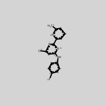 Cc1cccc(-c2nc(Cl)cc(Nc3ccc(F)cc3)n2)n1